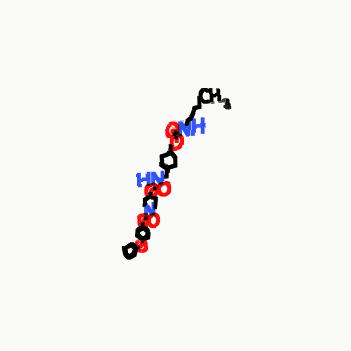 CCCCCCNC(=O)OCC1CCC(CNC(=O)OC2CCN(C(=O)Oc3ccc(Oc4ccccc4)cc3)CC2)CC1